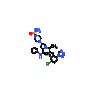 C=C(Nc1ccccc1)C1CC(N2CCN([S+](N)[O-])CC2)CN1C(=C)/C=C/c1cc(Cl)ccc1-n1cnnn1